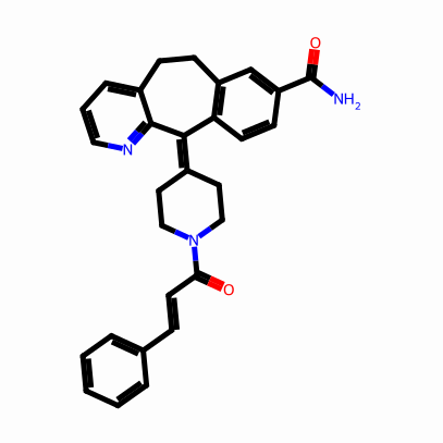 NC(=O)c1ccc2c(c1)CCc1cccnc1C2=C1CCN(C(=O)/C=C/c2ccccc2)CC1